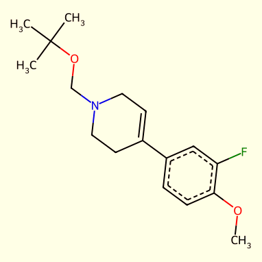 COc1ccc(C2=CCN(COC(C)(C)C)CC2)cc1F